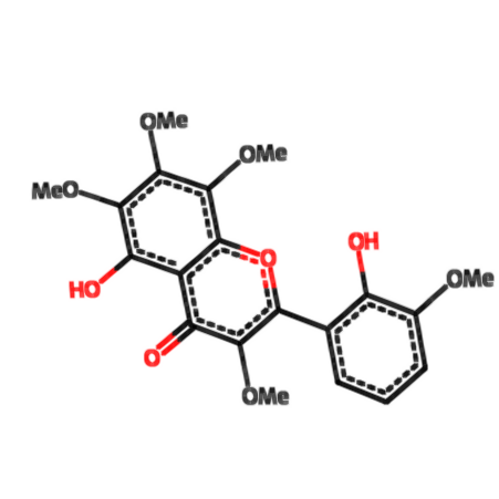 COc1cccc(-c2oc3c(OC)c(OC)c(OC)c(O)c3c(=O)c2OC)c1O